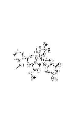 CNc1ccccc1C(=O)O[C@H]1[C@@H](OP(=O)(O)OP(=O)(O)O)[C@H](n2cnc3c(=O)[nH]c(N)nc32)O[C@@H]1CO